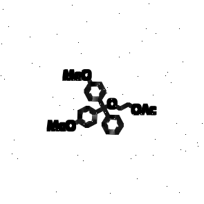 COc1ccc(C(OCCOC(C)=O)(c2ccccc2)c2ccc(OC)cc2)cc1